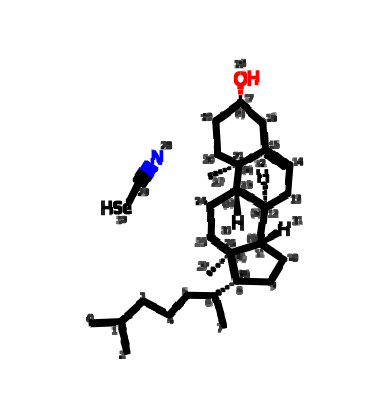 CC(C)CCCC(C)[C@H]1CC[C@H]2[C@@H]3CC=C4C[C@@H](O)CC[C@]4(C)[C@H]3CC[C@]12C.N#C[SeH]